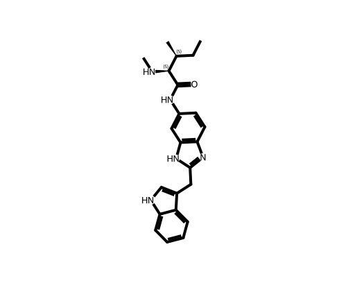 CC[C@H](C)[C@H](NC)C(=O)Nc1ccc2nc(Cc3c[nH]c4ccccc34)[nH]c2c1